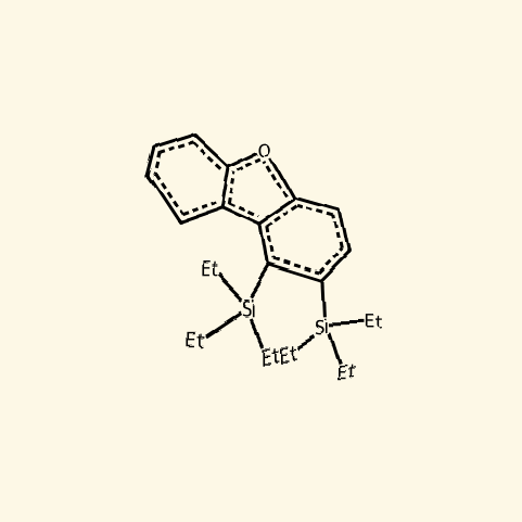 CC[Si](CC)(CC)c1ccc2oc3ccccc3c2c1[Si](CC)(CC)CC